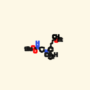 C=C(CCCc1ccc(-c2ccccc2)c(N(C(=O)O)[C@H]2CC[C@H](NC(=O)OC(C)(C)C)CC2)c1)OCC